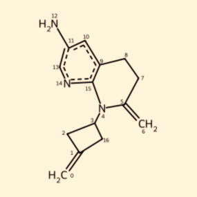 C=C1CC(N2C(=C)CCc3cc(N)cnc32)C1